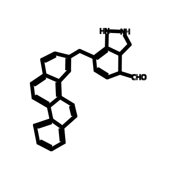 O=CC1C=CC(Cc2ccc3ccc4c5ccccc5ccc4c3c2)=C2NNCC21